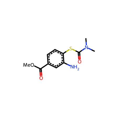 COC(=O)c1ccc(SC(=O)N(C)C)c(N)c1